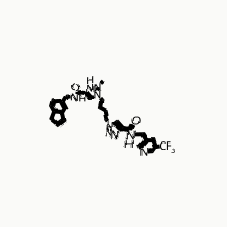 CN1NC(C(=O)NCc2ccc3c(c2)CCC3)=CN1CCCCn1cc(C(=O)NCc2cncc(C(F)(F)F)c2)nn1